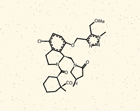 COCc1c(COc2ccc(Cl)c3c2[C@@H](CN2CC(C)CC2=O)N(C(=O)[C@@H]2CCCC[C@]2(C)C(=O)O)CC3)nnn1C